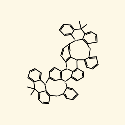 CC1(C)c2ccccc2N2c3ccc4c(c3)N(c3ccccc3Sc3cccc1c32)c1cccc2c1B4c1ccc3cc1N2c1ccccc1Sc1cccc2c1N3c1ccccc1C2(C)C